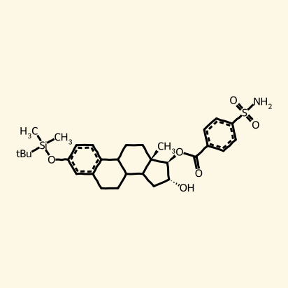 CC(C)(C)[Si](C)(C)Oc1ccc2c(c1)CCC1C2CC[C@@]2(C)C1C[C@@H](O)[C@@H]2OC(=O)c1ccc(S(N)(=O)=O)cc1